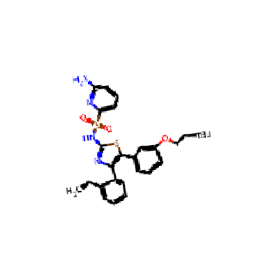 C=Cc1ccccc1-c1nc(NS(=O)(=O)c2cccc(N)n2)sc1-c1cccc(OCCC(C)(C)C)c1